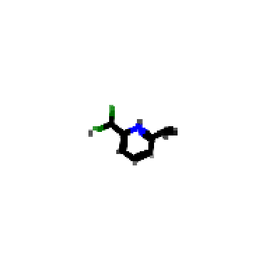 CCC(C)c1cccc(C(F)F)n1